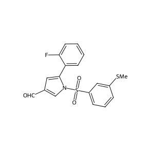 CSc1cccc(S(=O)(=O)n2cc(C=O)cc2-c2ccccc2F)c1